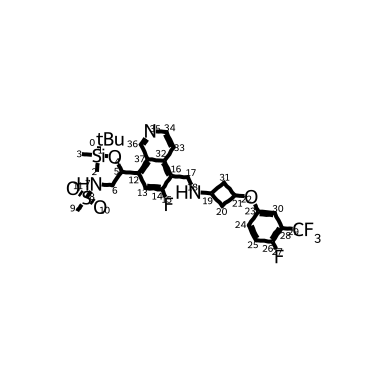 CC(C)(C)[Si](C)(C)OC(CNS(C)(=O)=O)c1cc(F)c(CNC2CC(Oc3ccc(F)c(C(F)(F)F)c3)C2)c2ccncc12